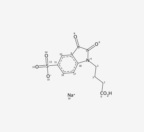 O=C(O)CCCN1C(=O)C(=O)c2cc(S(=O)(=O)[O-])ccc21.[Na+]